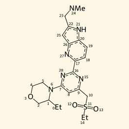 CCC1COCCN1c1cc(CS(=O)(=O)CC)nc(-c2ccc3[nH]c(CNC)cc3n2)n1